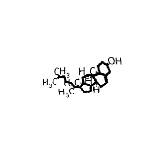 CC(C)CCC[C@@H](C)C1CCC2[C@@H]3CC=C4CC(O)CC[C@]4(C)[C@H]3CC[C@]12C